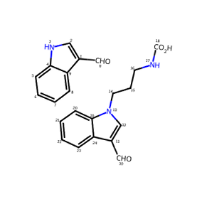 O=Cc1c[nH]c2ccccc12.O=Cc1cn(CCCNC(=O)O)c2ccccc12